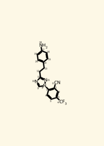 N#Cc1cc(C(F)(F)F)ccc1-n1cnc(CCc2ccc(N)cc2)n1